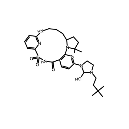 CC(C)(C)CCN1CCN(c2ccc3c(n2)N2C(CCCNc4cccc(n4)S(=O)(=O)NC3=O)CCC2(C)C)C1O